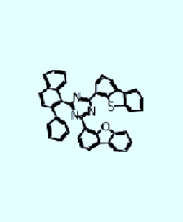 c1ccc(-c2ccc3ccccc3c2-c2nc(-c3cccc4c3oc3ccccc34)nc(-c3cccc4c3sc3ccccc34)n2)cc1